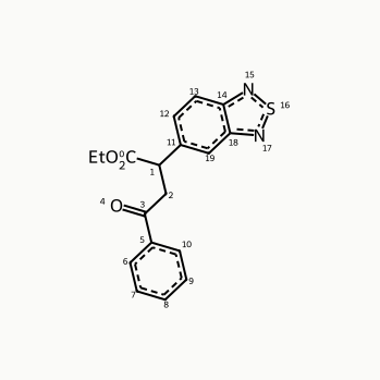 CCOC(=O)C(CC(=O)c1ccccc1)c1ccc2nsnc2c1